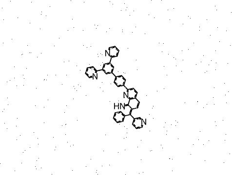 N=C1/C(=C(\c2ccccc2)c2cccnc2)C=Cc2ccc(-c3ccc(-c4cc(-c5ccccn5)cc(-c5ccccn5)c4)cc3)nc21